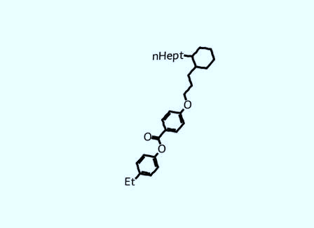 CCCCCCCC1CCCCC1CCCOc1ccc(C(=O)Oc2ccc(CC)cc2)cc1